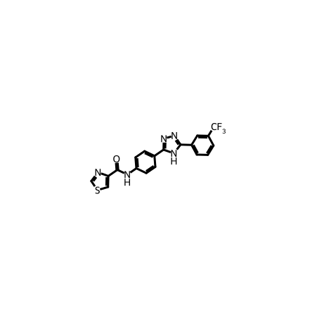 O=C(Nc1ccc(-c2nnc(-c3cccc(C(F)(F)F)c3)[nH]2)cc1)c1cscn1